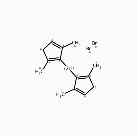 CC1=CCC(C)=[C]1[Zr+2][C]1=C(C)CC=C1C.[Br-].[Br-]